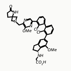 COc1cc(-c2cccc(-c3cccc(-c4cnc(CN5CC6(CCC(=O)N6)C5)c(OC)n4)c3Cl)c2Cl)cc2c1[C@H](NCC(=O)O)CC2